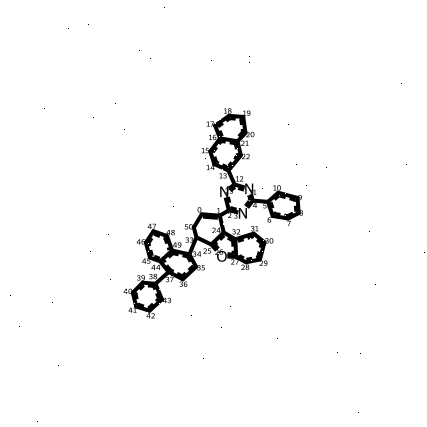 C1=C(c2nc(-c3ccccc3)nc(-c3ccc4ccccc4c3)n2)c2c(oc3ccccc23)C(c2ccc(-c3ccccc3)c3ccccc23)C1